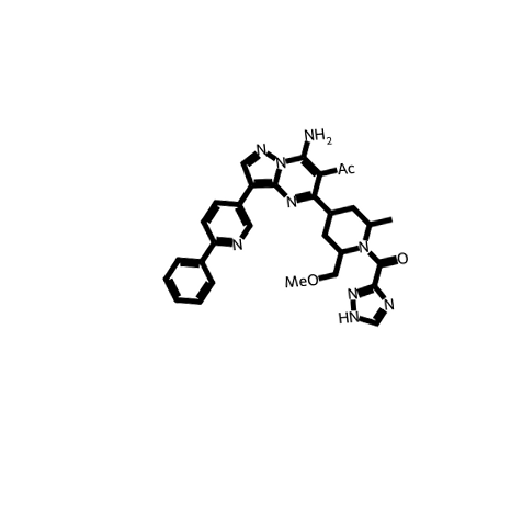 COCC1CC(c2nc3c(-c4ccc(-c5ccccc5)nc4)cnn3c(N)c2C(C)=O)CC(C)N1C(=O)c1nc[nH]n1